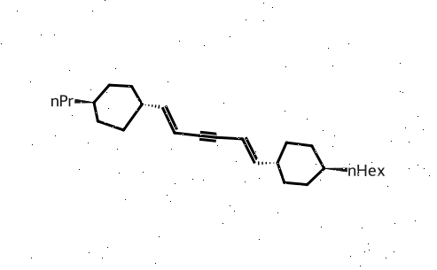 CCCCCC[C@H]1CC[C@H](C=CC#CC=C[C@H]2CC[C@H](CCC)CC2)CC1